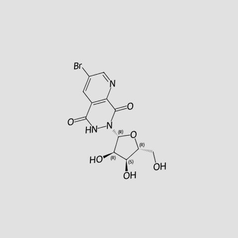 O=c1[nH]n([C@@H]2O[C@H](CO)[C@@H](O)[C@H]2O)c(=O)c2ncc(Br)cc12